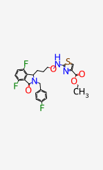 CCOC(=O)c1csc(NOCCCC2c3c(F)ccc(F)c3C(=O)N2Cc2ccc(F)cc2)n1